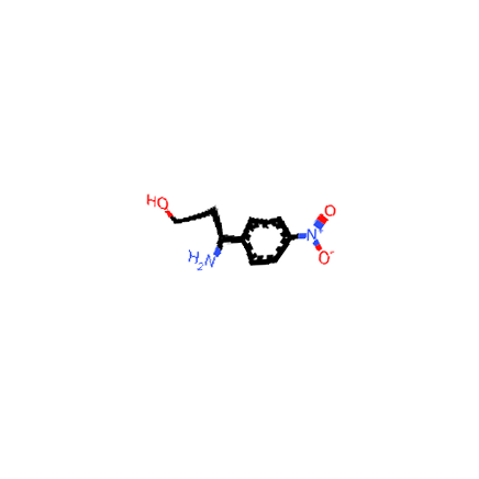 NC(CCO)c1ccc([N+](=O)[O-])cc1